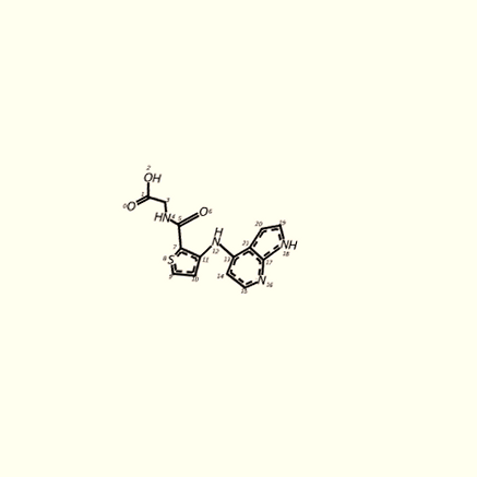 O=C(O)CNC(=O)c1sccc1Nc1ccnc2[nH]ccc12